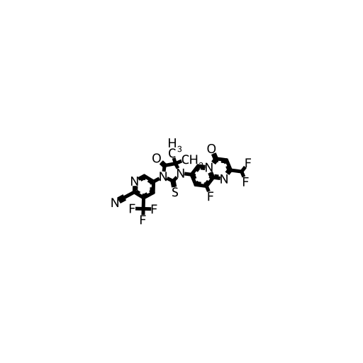 CC1(C)C(=O)N(c2cnc(C#N)c(C(F)(F)F)c2)C(=S)N1c1cc(F)c2nc(C(F)F)cc(=O)n2c1